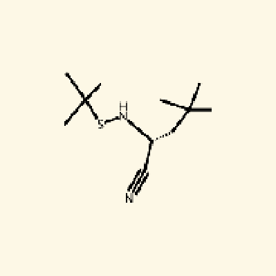 CC(C)(C)C[C@H](C#N)NSC(C)(C)C